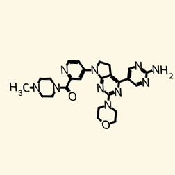 CN1CCN(C(=O)c2cc(N3CCc4c(-c5cnc(N)nc5)nc(N5CCOCC5)nc43)ccn2)CC1